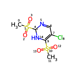 CS(=O)(=O)[C]1N=CC(Cl)=C(S(C)(=O)=O)N1